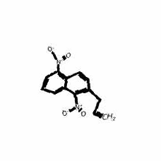 C=CCc1ccc2c([N+](=O)[O-])cccc2c1[N+](=O)[O-]